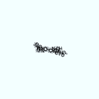 COC(=O)N[C@@H](C)C(=O)N1CCC[C@H]1c1nc2cc(-c3ccc4[nH]c([C@@H]5CCCN5C(=O)[C@H]5CCCO5)nc4c3)ccc2[nH]1